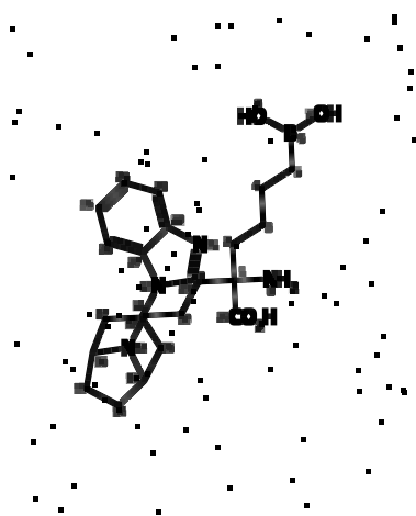 NC(CCCCB(O)O)(CCCN1C2CCC1CC(n1cnc3ccccc31)C2)C(=O)O